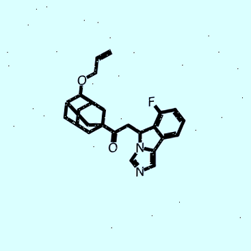 C=CCOC1C2CC3CC1CC(C(=O)CC1c4c(F)cccc4-c4cncn41)(C3)C2